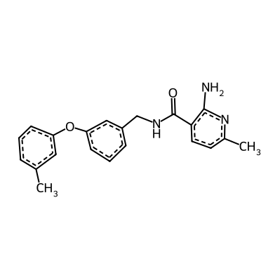 Cc1cccc(Oc2cccc(CNC(=O)c3ccc(C)nc3N)c2)c1